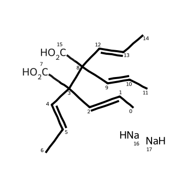 CC=CC(C=CC)(C(=O)O)C(C=CC)(C=CC)C(=O)O.[NaH].[NaH]